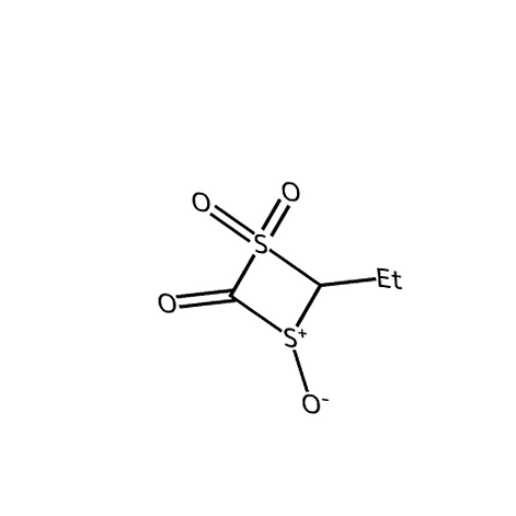 CCC1[S+]([O-])C(=O)S1(=O)=O